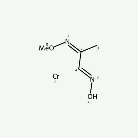 CON=C(C)C=NO.[Cr]